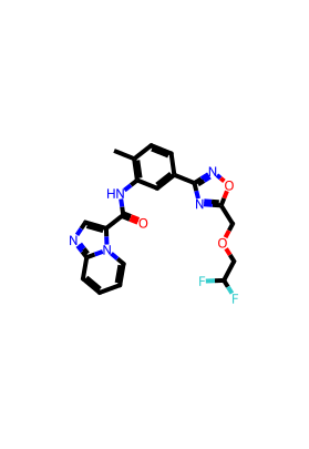 Cc1ccc(-c2noc(COCC(F)F)n2)cc1NC(=O)c1cnc2ccccn12